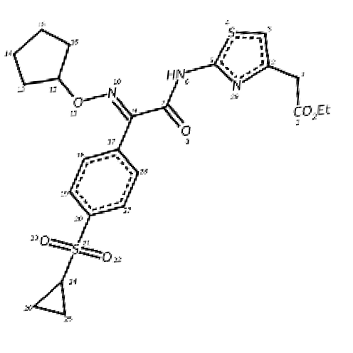 CCOC(=O)Cc1csc(NC(=O)/C(=N/OC2CCCC2)c2ccc(S(=O)(=O)C3CC3)cc2)n1